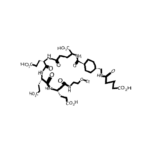 CCOCCNC(=O)[C@H](CCC(=O)O)NC(=O)[C@H](CCC(=O)O)NC(=O)[C@H](CCC(=O)O)NC(=O)CCC(NC(=O)[C@H]1CC[C@H](CNC(=O)CCCC(=O)O)CC1)C(=O)O